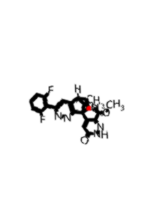 COC(=O)c1n[nH]c(=O)cc1C12CC[C@@H](c3cc(-c4c(F)cccc4F)nnc31)C2(C)C